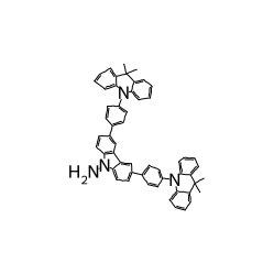 CC1(C)c2ccccc2N(c2ccc(-c3ccc4c(c3)c3cc(-c5ccc(N6c7ccccc7C(C)(C)c7ccccc76)cc5)ccc3n4N)cc2)c2ccccc21